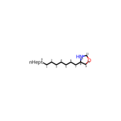 CCCCCCCCCCCCCCC1COCN1